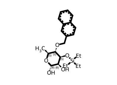 CC[Si](CC)(CC)O[C@H]1[C@@H](O)[C@H](O)O[C@@H](C)[C@@H]1OCc1ccc2ccccc2c1